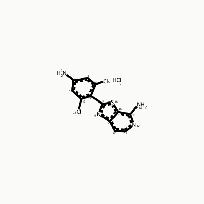 Cl.Nc1cc(Cl)c(-c2nc3ccnc(N)c3s2)c(Cl)c1